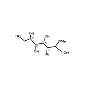 CCCCCCCCC(NC)[C@H](O)[C@@H](O)[C@H](O)[C@H](O)CO